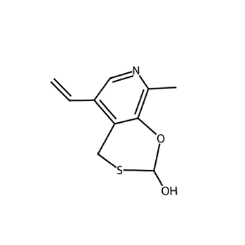 C=Cc1cnc(C)c2c1CSC(O)O2